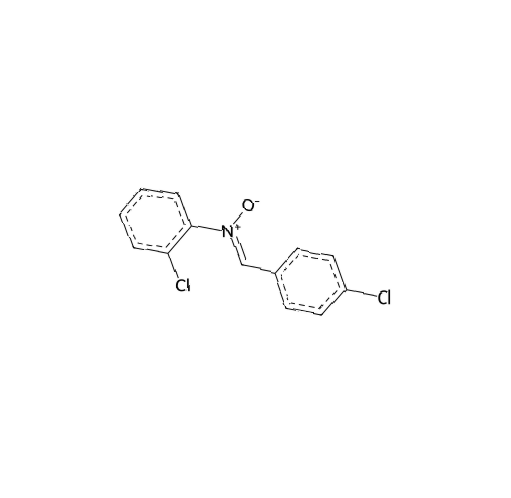 [O-][N+](=Cc1ccc(Cl)cc1)c1ccccc1Cl